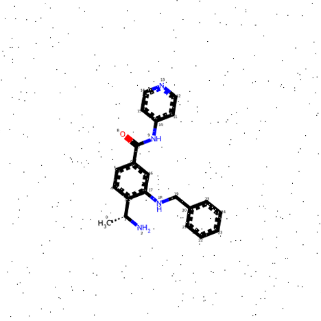 C[C@@H](N)c1ccc(C(=O)Nc2ccncc2)cc1NCc1ccccc1